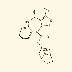 Cc1scc2c1C(=O)Nc1ccccc1N2C(=O)OC1CC2CCC(C1)N2C